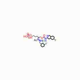 CC(=O)N(NCc1cccc(F)c1F)[C@@H](CCCCOP(=O)(O)O)COC(=O)Nc1cc2cc(F)ccc2cn1